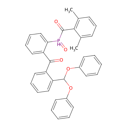 Cc1cccc(C)c1C(=O)[PH](=O)c1ccccc1C(=O)c1ccccc1C(Oc1ccccc1)Oc1ccccc1